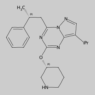 CC(C)c1cnn2c(C[C@@H](C)c3ccccc3)nc(O[C@@H]3CCCNC3)nc12